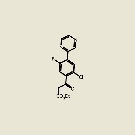 CCOC(=O)CC(=O)c1cc(F)c(-c2cnccn2)cc1Cl